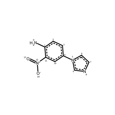 Nc1ccc(-n2ccnc2)cc1[N+](=O)[O-]